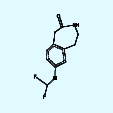 O=C1Cc2ccc(OC(F)F)cc2CCN1